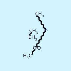 CCCCCCCC/C=C\CCCCCCCC(=O)OCCCC.C[CH]CC